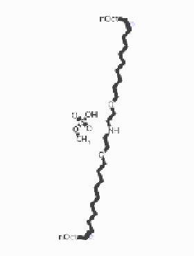 CCCCCCCC/C=C\CCCCCCCCOCCNCCOCCCCCCCC/C=C\CCCCCCCC.COS(=O)(=O)O